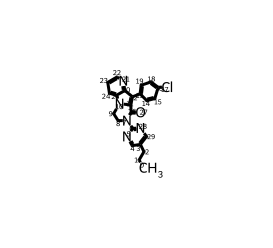 CCCc1cnc(N2CCn3c(c(-c4ccc(Cl)cc4)c4ncccc43)C2=O)nc1